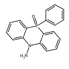 NN1c2ccccc2P(=O)(c2ccccc2)c2ccccc21